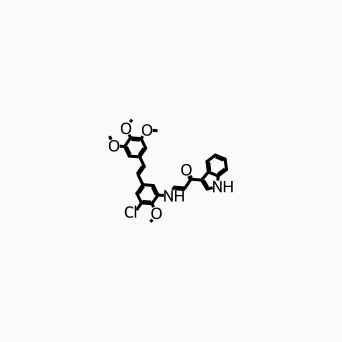 COc1cc(C=Cc2cc(Cl)c(OC)c(NC=CC(=O)c3c[nH]c4ccccc34)c2)cc(OC)c1OC